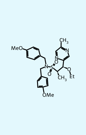 CCO[C@H](c1cnc(C)cn1)[C@@H](C)S(=O)(=O)N(Cc1ccc(OC)cc1)Cc1ccc(OC)cc1